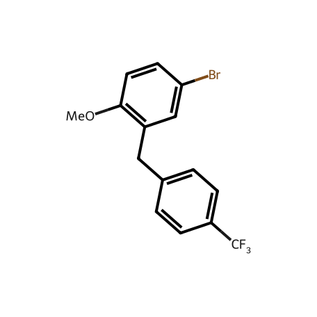 COc1ccc(Br)cc1Cc1ccc(C(F)(F)F)cc1